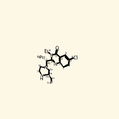 CCC[C@H](c1nc2ccc(Cl)cc2c(=O)n1CC)N1CCN[C@H](CF)C1